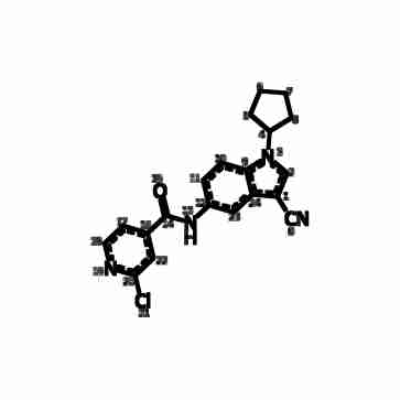 N#Cc1cn(C2CCCC2)c2ccc(NC(=O)c3ccnc(Cl)c3)cc12